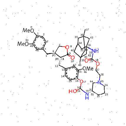 COc1ccc(C[C@H]2COC(=O)[C@@H]2Cc2ccc(OC(O)N[C@H]3CCCN(CCOC(=O)NC45CC6CC(C)(CC(C)(C6)C4)C5)C3)c(OC)c2)cc1OC